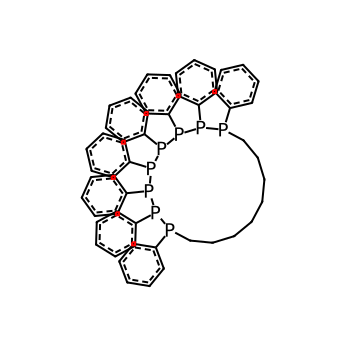 c1ccc(P2CCCCCCCCP(c3ccccc3)P(c3ccccc3)P(c3ccccc3)P(c3ccccc3)P(c3ccccc3)P(c3ccccc3)P2c2ccccc2)cc1